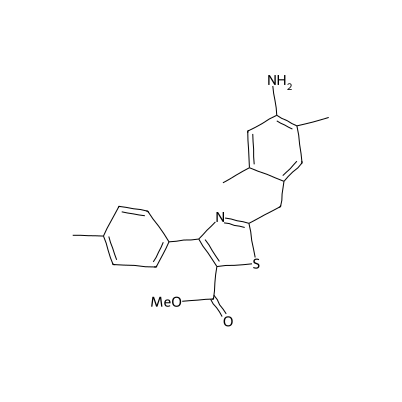 COC(=O)c1sc(Cc2cc(C)c(N)cc2C)nc1-c1ccc(C)cc1